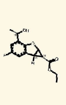 CCOC(=O)[C@@H]1C2Oc3c(cc(F)cc3[C@@H](C)O)[C@H]21